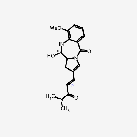 COc1cccc2c1N[C@H](O)C1CC(/C=C/C(=O)N(C)C)=CN1C2=O